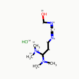 CN(C)C(CCN=C=NCO)N(C)C.Cl